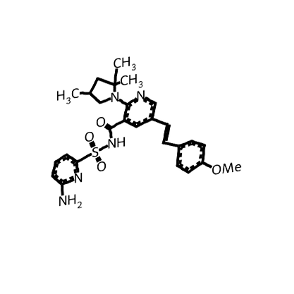 COc1ccc(C=Cc2cnc(N3CC(C)CC3(C)C)c(C(=O)NS(=O)(=O)c3cccc(N)n3)c2)cc1